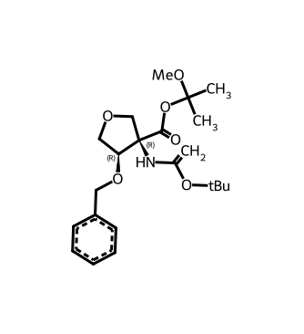 C=C(N[C@]1(C(=O)OC(C)(C)OC)COC[C@@H]1OCc1ccccc1)OC(C)(C)C